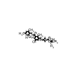 Cc1cc(C)c(CNC(=O)c2cc(Cl)cc(CNC3CN(C(=O)OC(C)(C)C)C3)c2C)c(=O)[nH]1